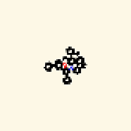 CCc1ccccc1-c1ccc(N(c2cccc3c2-c2ccccc2C3(C)C)c2cc(-c3ccccc3)cc3c2oc2ccc(-c4ccccc4)cc23)cc1CC